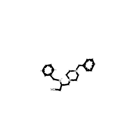 OCC(CN1CCN(Cc2ccccc2)CC1)OCc1ccccc1